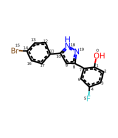 Oc1ccc(F)cc1-c1cc(-c2ccc(Br)cc2)[nH]n1